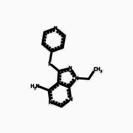 CCn1nc(Sc2ccncc2)c2c(N)ncnc21